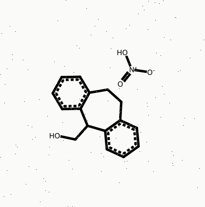 O=[N+]([O-])O.OCC1c2ccccc2CCc2ccccc21